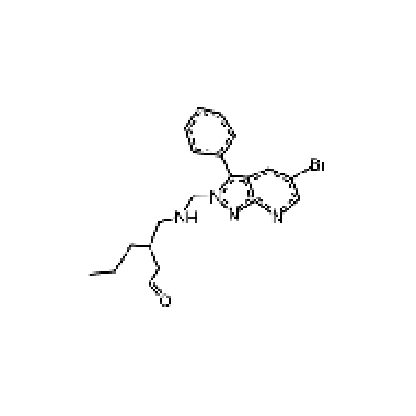 CCCC(CC=O)CNCn1nc2ncc(Br)cc2c1-c1ccccc1